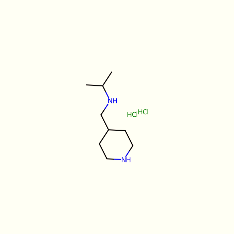 CC(C)NCC1CCNCC1.Cl.Cl